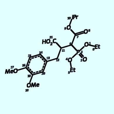 CCOP(=O)(OCC)C(C(=O)OC(C)C)C(Cc1ccc(OC)c(OC)c1)C(=O)O